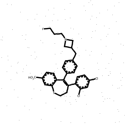 O=C(O)c1ccc2c(c1)SCCC(c1ccc(Cl)cc1Cl)=C2c1ccc(CC2CN(CCCF)C2)cc1